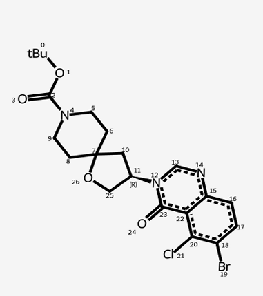 CC(C)(C)OC(=O)N1CCC2(CC1)C[C@@H](n1cnc3ccc(Br)c(Cl)c3c1=O)CO2